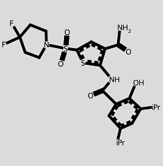 CC(C)c1cc(C(=O)Nc2sc(S(=O)(=O)N3CCC(F)(F)CC3)cc2C(N)=O)c(O)c(C(C)C)c1